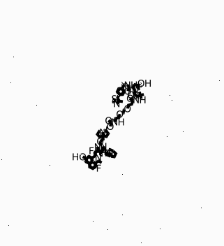 CCc1c(F)ccc2cc(O)cc(-c3ncc4c(N5CC6CCC(C5)N6)nc(OCC56CCCN5[C@@H](COC(=O)NCCOCCOCCC(=O)N[C@H](C(=O)N5C[C@H](O)C[C@H]5C(=O)N[C@@H](C)c5ccc(-c7scnc7C)cc5)C(C)(C)C)CC6)nc4c3F)c12